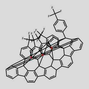 FC(F)(F)c1ccc(C23C4=C5C6C7=C4C4(c8ccc(C(F)(F)F)cc8)c8c9c%10ccc8=C8C=CC(=C2C84)c2ccc4c(c23)C5(c2ccc(C(F)(F)F)cc2)C2=C4C=CC3C4=C(C(C=%10C=C4)C79c4ccc(C(F)(F)F)cc4)C6(c4ccc(C(F)(F)F)cc4)C23)cc1